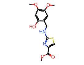 COC(=O)c1csc(NCc2cc(OC)c(OC)cc2O)n1